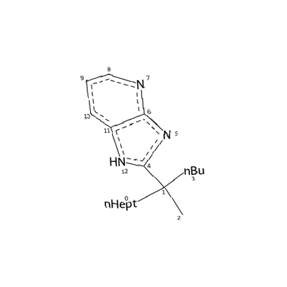 CCCCCCCC(C)(CCCC)c1nc2ncccc2[nH]1